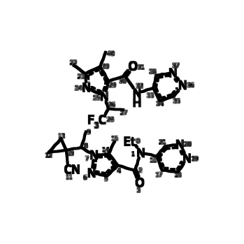 CCN(C(=O)c1cnn(C(C)C2(C#N)CC2)c1C)c1ccnnc1.Cc1nn(C(C)C(F)(F)F)c(C(=O)Nc2ccnnc2)c1C